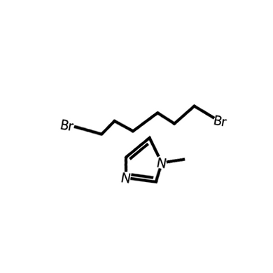 BrCCCCCCBr.Cn1ccnc1